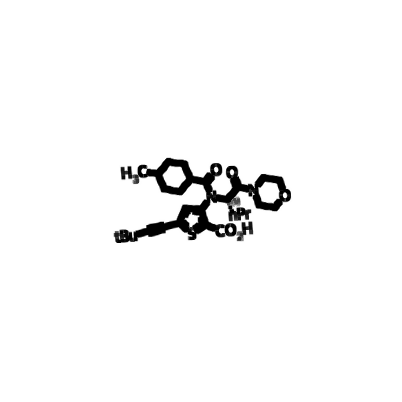 CCC[C@@H](C(=O)N1CCOCC1)N(C(=O)C1CCC(C)CC1)c1cc(C#CC(C)(C)C)sc1C(=O)O